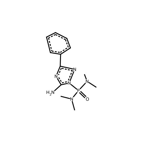 CN(C)P(=O)(N(C)C)n1nc(-c2ccccc2)nc1N